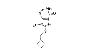 CCn1c(SCC2CCC2)nc2c(=O)[nH]cnc21